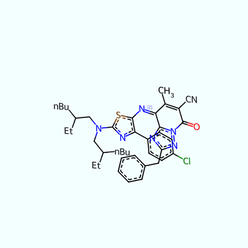 CCCCC(CC)CN(CC(CC)CCCC)c1nc(-c2ccc(Cl)cc2)c(/N=C2/C(C)=C(C#N)C(=O)n3nc(Cc4ccccc4)nc32)s1